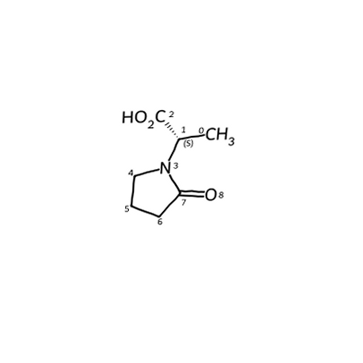 C[C@@H](C(=O)O)N1CCCC1=O